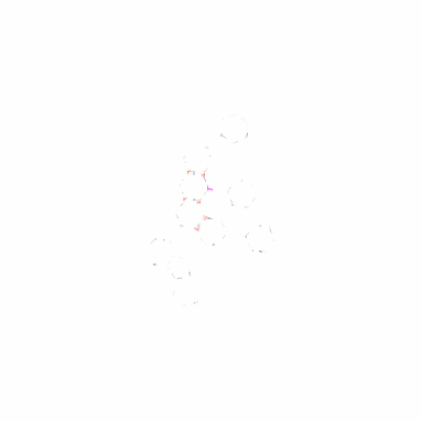 CC1(C)c2ccccc2-c2cccc(N(c3ccc(-c4cccc5c4sc4ccccc45)cc3)c3cccc(-c4ccccc4)c3-c3ccccc3-c3ccccc3)c21